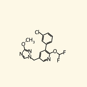 COc1ncn(Cc2cnc(OC(F)F)c(-c3cccc(Cl)c3)c2)n1